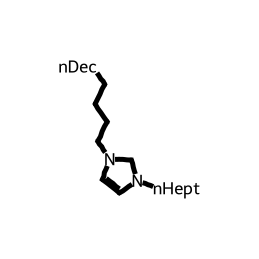 CCCCCCCCCCCCCCN1C=CN(CCCCCCC)C1